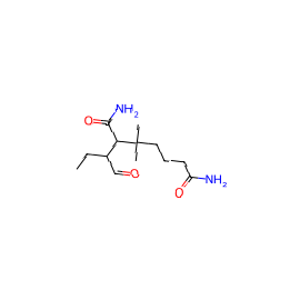 CCC(C=O)C(C(N)=O)C(C)(C)CCCC(N)=O